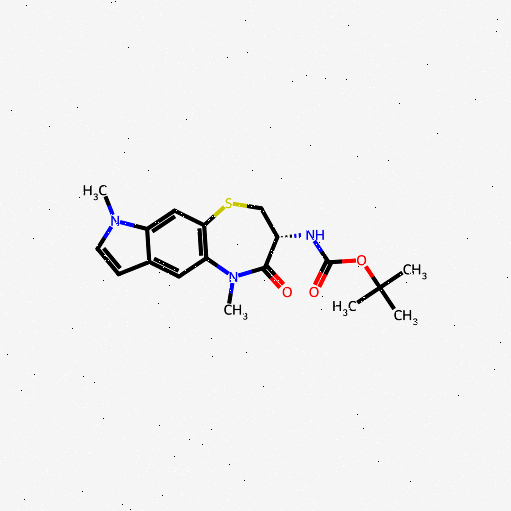 CN1C(=O)[C@@H](NC(=O)OC(C)(C)C)CSc2cc3c(ccn3C)cc21